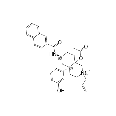 C=CC[N@@+]1(C)CC[C@@]2(c3cccc(O)c3)C[C@@H](NC(=O)c3ccc4ccccc4c3)CCC2(OC(C)=O)C1